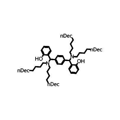 CCCCCCCCCCCCCCN(CCCCCCCCCCCCCC)C(c1ccc(C(c2ccccc2O)N(CCCCCCCCCCCCCC)CCCCCCCCCCCCCC)cc1)c1ccccc1O